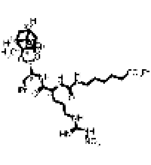 CCOC(=O)CCCCCNC(=O)N[C@@H](CCCNC(=N)N[N+](=O)[O-])C(=O)N[C@@H](CC(C)C)B1O[C@@H]2C[C@@H]3C[C@@H](C3(C)C)[C@]2(C)O1